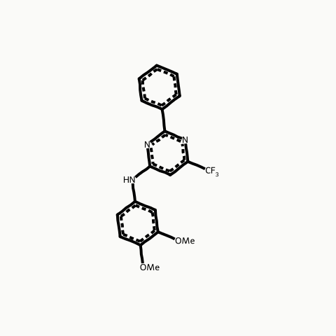 COc1ccc(Nc2cc(C(F)(F)F)nc(-c3ccccc3)n2)cc1OC